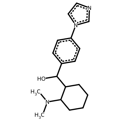 CN(C)C1CCCCC1C(O)c1ccc(-n2ccnc2)cc1